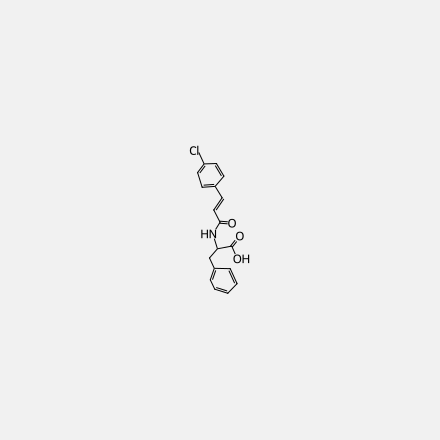 O=C(C=Cc1ccc(Cl)cc1)NC(Cc1ccccc1)C(=O)O